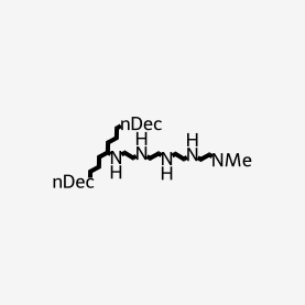 CCCCCCCCCCCCCC(CCCCCCCCCCCCC)NCCNCCNCCNCCNC